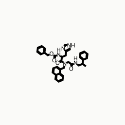 CC(CNC(=O)CN(Cc1cccc2ccccc12)C(=O)C(Cc1c[nH]cn1)NC(=O)OCc1ccccc1)c1ccccc1